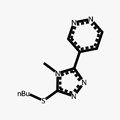 CCCCSc1nnc(-c2ccnnc2)n1C